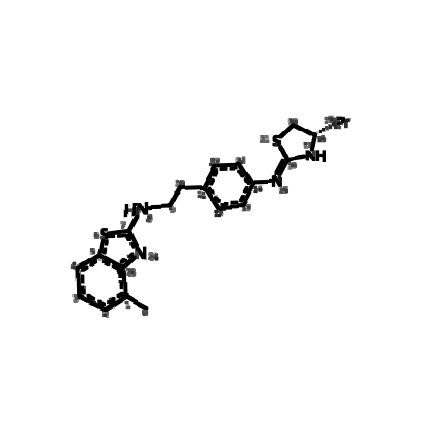 Cc1cccc2sc(NCCc3ccc(/N=C4/N[C@@H](C(C)C)CS4)cc3)nc12